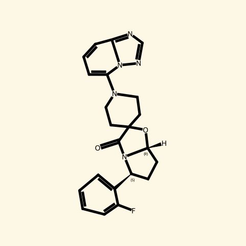 O=C1N2[C@@H](CC[C@H]2c2ccccc2F)OC12CCN(c1cccc3ncnn13)CC2